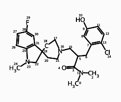 CN(C)C(=O)C(Cc1cc(O)ccc1Cl)CN1CCC2(CC1)CN(C)c1ccc(F)cc12